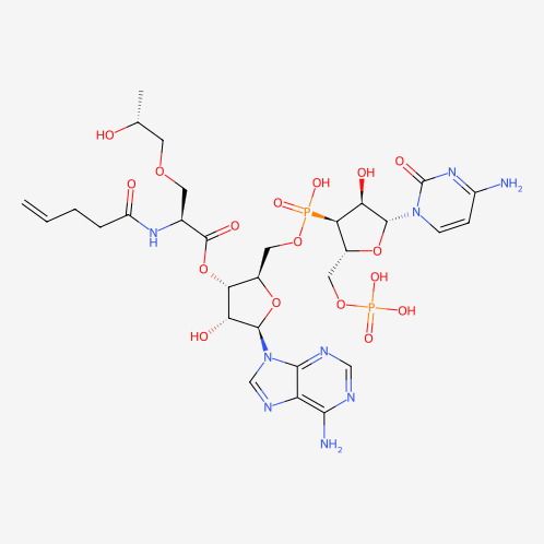 C=CCCC(=O)N[C@@H](COC[C@@H](C)O)C(=O)O[C@H]1[C@@H](O)[C@H](n2cnc3c(N)ncnc32)O[C@@H]1COP(=O)(O)[C@H]1[C@@H](O)[C@H](n2ccc(N)nc2=O)O[C@@H]1COP(=O)(O)O